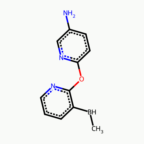 CBc1cccnc1Oc1ccc(N)cn1